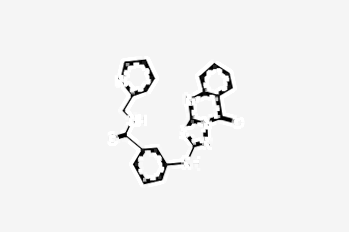 O=C(NCc1ccccn1)c1cccc(Nc2nn3c(=O)c4ccccc4nc3s2)c1